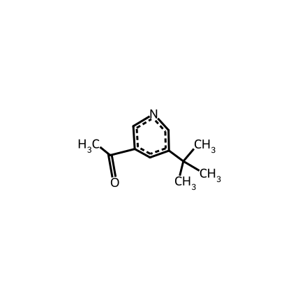 CC(=O)c1cncc(C(C)(C)C)c1